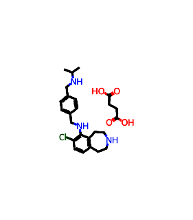 CC(C)NCc1ccc(CNc2c(Cl)ccc3c2CCNCC3)cc1.O=C(O)CCC(=O)O